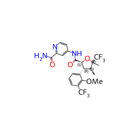 COc1c([C@@H]2[C@@H](C(=O)Nc3ccnc(C(N)=O)c3)O[C@@](C)(C(F)(F)F)[C@H]2C)cccc1C(F)(F)F